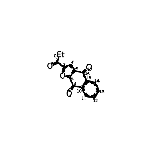 CCC(=O)c1cc2c(o1)C(=O)c1ccccc1C2=O